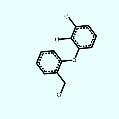 ClCc1c[c]ccc1Oc1cccc(Cl)c1Cl